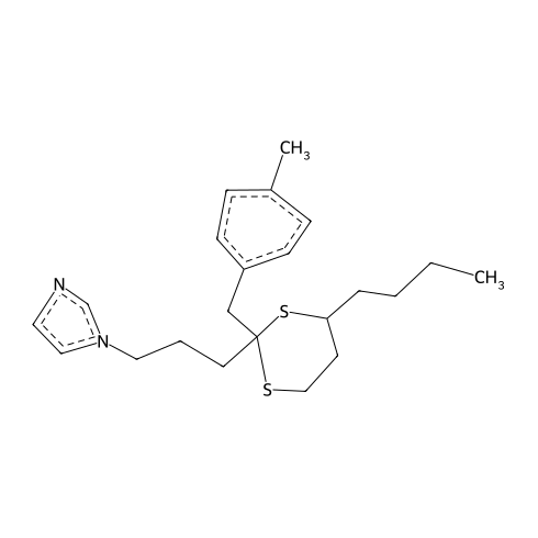 CCCCC1CCSC(CCCn2ccnc2)(Cc2ccc(C)cc2)S1